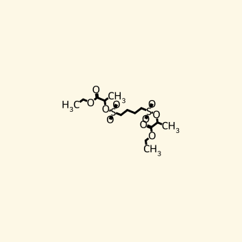 CCOC(=O)C(C)OS(=O)(=O)CCCCS(=O)(=O)OC(C)C(=O)OCC